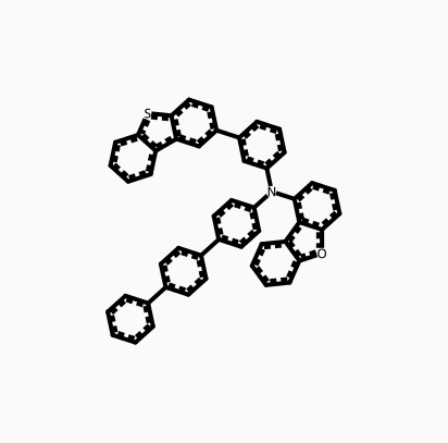 c1ccc(-c2ccc(-c3ccc(N(c4cccc(-c5ccc6sc7ccccc7c6c5)c4)c4cccc5oc6ccccc6c45)cc3)cc2)cc1